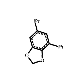 CC(C)c1cc2c(c(C(C)C)c1)OCO2